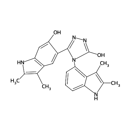 Cc1[nH]c2cc(O)c(-c3nnc(O)n3-c3cccc4[nH]c(C)c(C)c34)cc2c1C